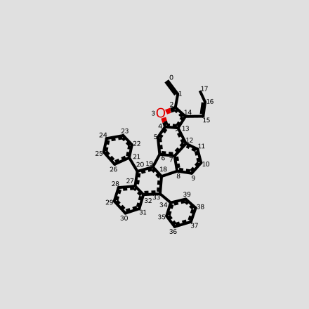 C=Cc1oc2cc3c4c(cccc4c2c1/C=C\C)-c1c-3c(-c2ccccc2)c2ccccc2c1-c1ccccc1